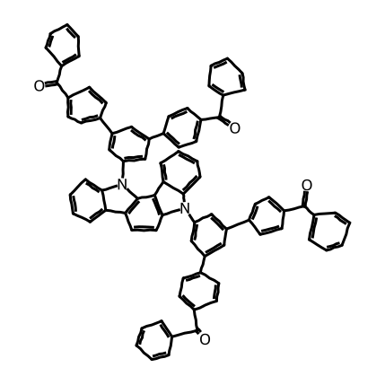 O=C(c1ccccc1)c1ccc(-c2cc(-c3ccc(C(=O)c4ccccc4)cc3)cc(-n3c4ccccc4c4c3ccc3c5ccccc5n(-c5cc(-c6ccc(C(=O)c7ccccc7)cc6)cc(-c6ccc(C(=O)c7ccccc7)cc6)c5)c34)c2)cc1